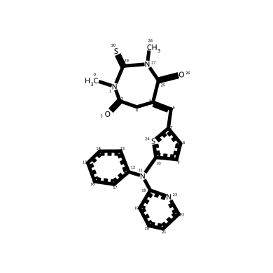 CN1C(=O)C/C(=C\c2ccc(N(c3ccccc3)c3ccccn3)s2)C(=O)N(C)C1=S